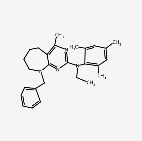 CCN(c1nc(C)c2c(n1)N(Cc1ccccc1)CCCC2)c1c(C)cc(C)cc1C